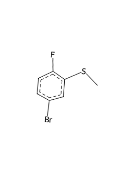 CSc1cc(Br)ccc1F